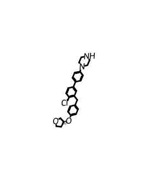 Clc1ccc(-c2ccc(N3CCNCC3)cc2)cc1Cc1ccc(O[C@H]2CCOC2)cc1